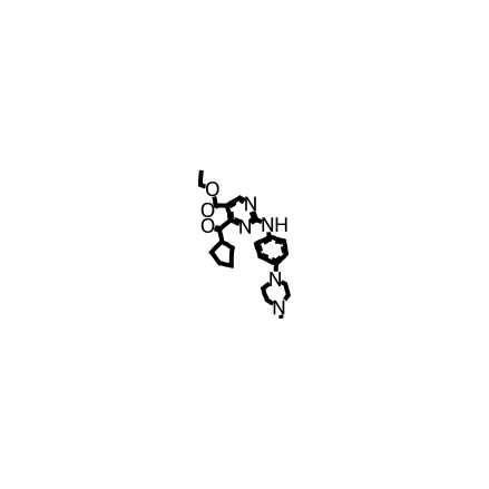 CCOC(=O)c1cnc(Nc2ccc(N3CCN(C)CC3)cc2)nc1C(=O)C1CCCC1